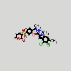 Cc1cc2c(cc(C(=O)N[C@H](C)c3ccc(S(=O)(=O)C4CCCOC4=O)cc3)n2C)c(Cl)c1Cl